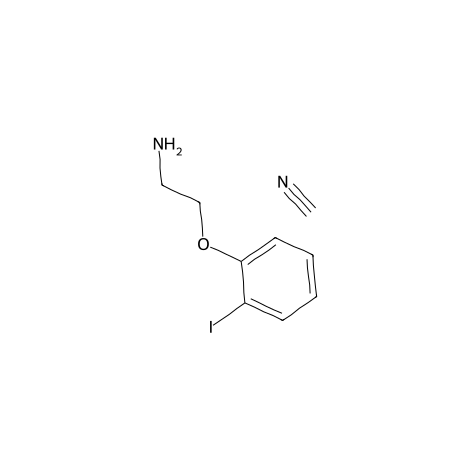 C#N.NCCOc1ccccc1I